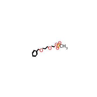 CS(=O)(=O)OCCOCCCOCc1ccccc1